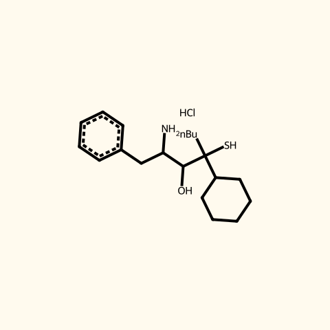 CCCCC(S)(C1CCCCC1)C(O)C(N)Cc1ccccc1.Cl